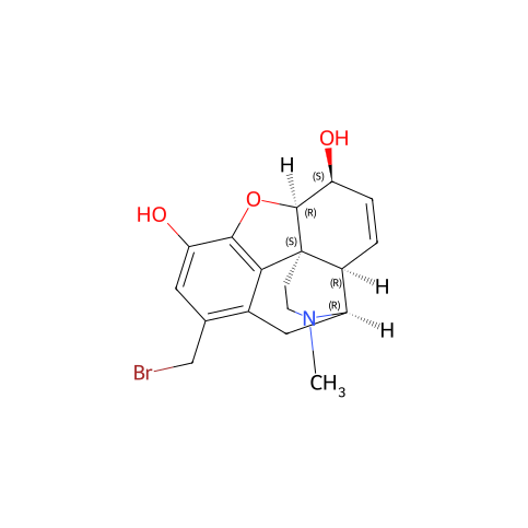 CN1CC[C@]23c4c5c(CBr)cc(O)c4O[C@H]2[C@@H](O)C=C[C@H]3[C@H]1C5